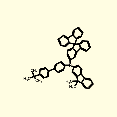 CC(C)(C)c1ccc(-c2ccc(N(c3ccc4c(c3)-c3ccccc3C43c4ccccc4-c4ccccc43)c3ccc4c(c3)C(C)(C)c3ccccc3-4)cc2)cc1